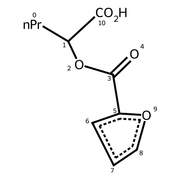 CCCC(OC(=O)c1ccco1)C(=O)O